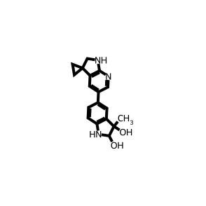 CC1(O)c2cc(-c3cnc4c(c3)C3(CC3)CN4)ccc2NC1O